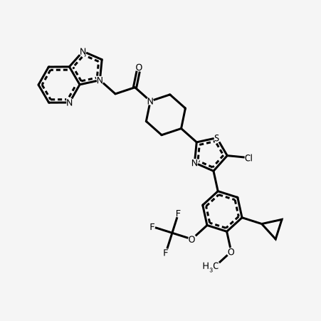 COc1c(OC(F)(F)F)cc(-c2nc(C3CCN(C(=O)Cn4cnc5cccnc54)CC3)sc2Cl)cc1C1CC1